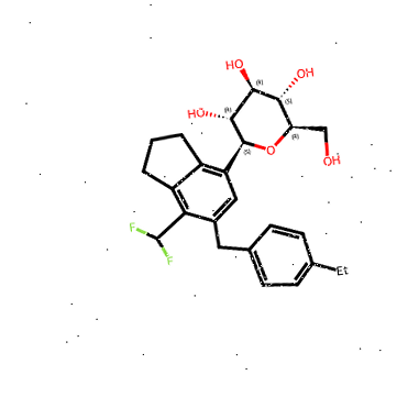 CCc1ccc(Cc2cc([C@@H]3O[C@H](CO)[C@@H](O)[C@H](O)[C@H]3O)c3c(c2C(F)F)CCC3)cc1